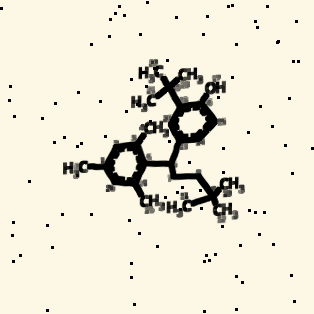 Cc1cc(C)c(C(CCC(C)(C)C)c2ccc(O)c(C(C)(C)C)c2)c(C)c1